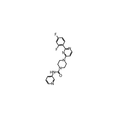 O=C(Nc1cccnc1)N1CCN(c2ccnc(-c3ccc(F)cc3F)n2)CC1